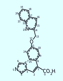 O=C(O)/C(=C/c1cncs1)c1ccc(OCc2ccc3ccccc3n2)cc1